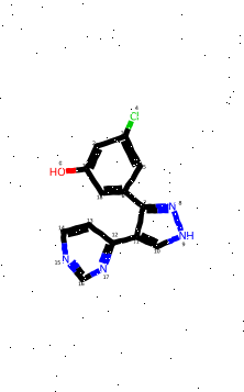 Oc1cc(Cl)cc(-c2n[nH]cc2-c2ccncn2)c1